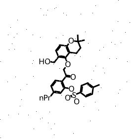 CCCc1ccc(C(=O)COc2c(CO)ccc3c2CCC(C)(C)O3)c(OS(=O)(=O)c2ccc(C)cc2)c1